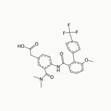 COc1cccc(C(=O)Nc2ccc(CC(=O)O)cc2C(=O)N(C)C)c1-c1ccc(C(F)(F)F)cc1